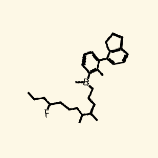 CCCC(F)CCCC(C)C(C)CCCB(C)c1cccc(-c2cccc3c2CCC3)c1C